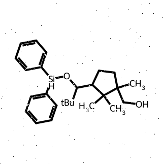 CC(C)(C)C(O[SiH](c1ccccc1)c1ccccc1)C1CCC(C)(CO)C1(C)C